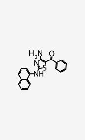 Nc1nc(Nc2cccc3ccccc23)sc1C(=O)c1ccccc1